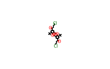 CC(C)(C)c1cc(C(=O)CCCCl)cc2c1OC1OC2Oc2c1cc(C(=O)CCCCl)cc2C(C)(C)C